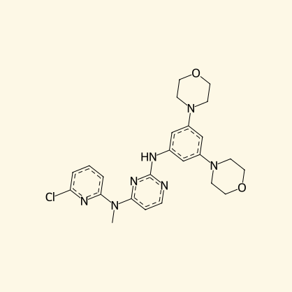 CN(c1cccc(Cl)n1)c1ccnc(Nc2cc(N3CCOCC3)cc(N3CCOCC3)c2)n1